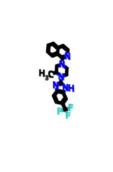 CC1CN(c2nccc3ccccc23)CCN1c1nc2ccc(C(F)(F)F)cc2[nH]1